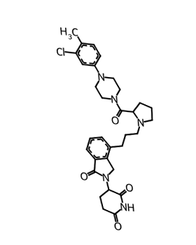 Cc1ccc(N2CCN(C(=O)C3CCCN3CCCc3cccc4c3CN(C3CCC(=O)NC3=O)C4=O)CC2)cc1Cl